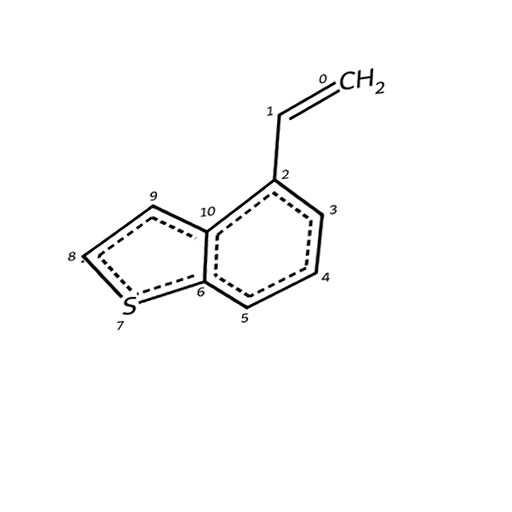 C=Cc1cccc2s[c]cc12